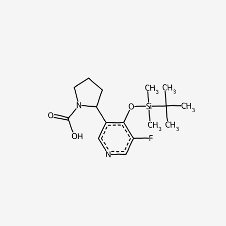 CC(C)(C)[Si](C)(C)Oc1c(F)cncc1C1CCCN1C(=O)O